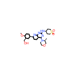 COc1ccc(-c2ccc3c(N4CCOC[C@@H]4C)nc(NC4CCS(=O)(=O)CC4)nc3n2)cc1CO